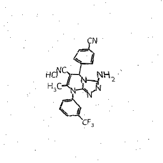 CC1=C(C#N)C(c2ccc(C#N)cc2)n2c(N)nnc2N1c1cccc(C(F)(F)F)c1.Cl